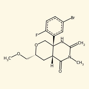 C=C1N[C@@]2(c3cc(Br)ccc3F)CO[C@@H](COC)C[C@H]2C(=O)N1C